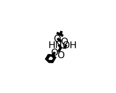 CC(C)(C)OC(=O)N[C@@H](CO)C(=O)Oc1ccccc1